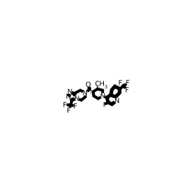 C[C@@H]1CN(c2c(I)cnc3cc(C(F)(F)F)ccc23)CC[C@@H]1C(=O)N1CCn2c(nnc2C(F)(F)F)C1